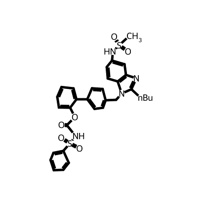 CCCCc1nc2cc(NS(C)(=O)=O)ccc2n1Cc1ccc(-c2ccccc2OC(=O)NS(=O)(=O)c2ccccc2)cc1